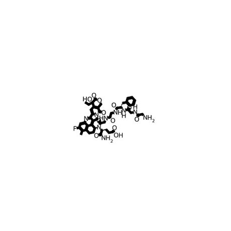 CC[C@@]1(O)C(=O)OCc2c1cc1n(c2=O)Cc2c-1nc1cc(F)c(C)c3c1c2[C@@H](N(C(=O)CNC(=O)CNC(=O)[C@H](Cc1ccccc1)NC(=O)CNC(=O)CN)[C@@H](CCC(=O)O)C(N)=O)CC3